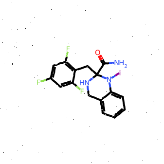 NC(=O)C1(Cc2c(F)cc(F)cc2F)NCc2ccccc2N1I